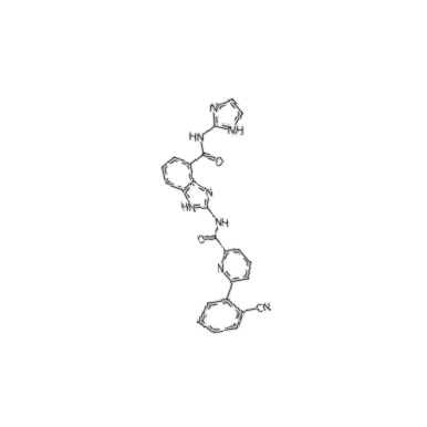 N#Cc1ccccc1-c1cccc(C(=O)Nc2nc3c(C(=O)Nc4ncc[nH]4)cccc3[nH]2)n1